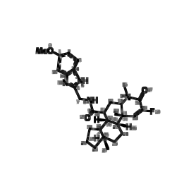 COc1ccc2[nH]c(CNC(=O)C3CC4N(C)C(=O)C(F)=C[C@]4(C)[C@@H]4CC[C@]5(C)CCC[C@H]5[C@H]34)nc2c1